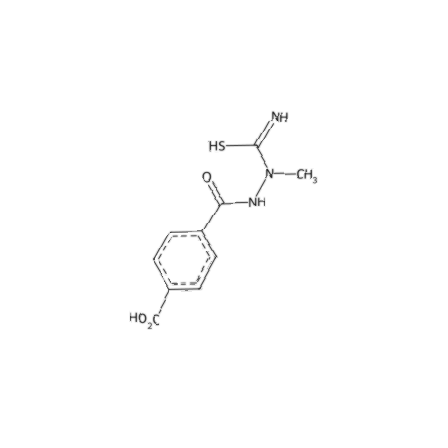 CN(NC(=O)c1ccc(C(=O)O)cc1)C(=N)S